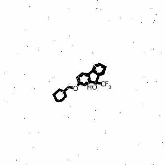 OC1(C(F)(F)F)c2ccccc2-c2ccc(OCC3CCCCC3)cc21